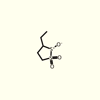 CCC1CCS(=O)(=O)[S+]1[O-]